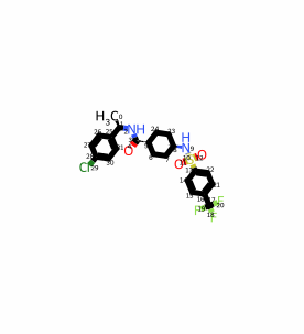 C[C@@H](NC(=O)[C@H]1CC[C@H](NS(=O)(=O)c2ccc(C(F)(F)F)cc2)CC1)c1ccc(Cl)cc1